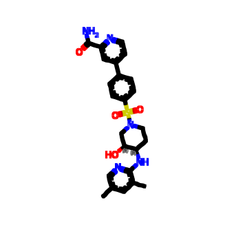 Cc1cnc(N[C@@H]2CCN(S(=O)(=O)c3ccc(-c4ccnc(C(N)=O)c4)cc3)C[C@@H]2O)c(C)c1